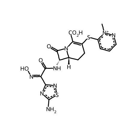 C[n+]1ncccc1SC1=C(C(=O)O)N2C(=O)[C@@H](NC(=O)/C(=N\O)c3nsc(N)n3)[C@H]2CC1